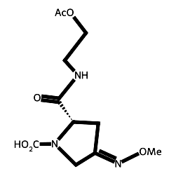 CO/N=C1\C[C@@H](C(=O)NCCOC(C)=O)N(C(=O)O)C1